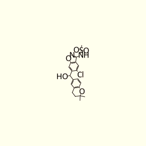 CC1(C)CCc2cc(C(O)c3cc4onc(NS(C)(=O)=O)c4cc3Cl)ccc2O1